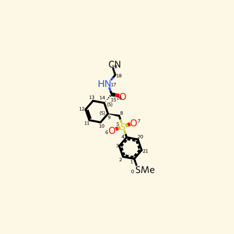 CSc1ccc(S(=O)(=O)C[C@H]2CC=CC[C@@H]2C(=O)NCC#N)cc1